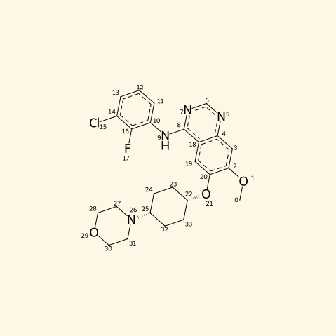 COc1cc2ncnc(Nc3cccc(Cl)c3F)c2cc1O[C@H]1CC[C@@H](N2CCOCC2)CC1